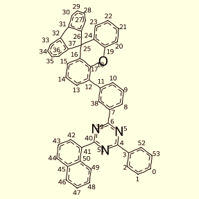 c1ccc(-c2nc(-c3cccc(-c4cccc5c4Oc4ccccc4C54c5ccccc5-c5ccccc54)c3)nc(-c3cccc4ccccc34)n2)cc1